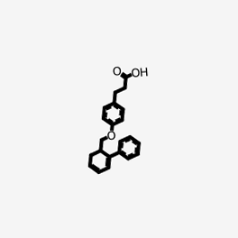 O=C(O)CCc1ccc(OCC2CC=CC=C2c2ccccc2)cc1